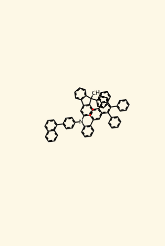 CC1(c2ccccc2)c2ccccc2-c2cc(N(c3ccc(-c4cccc5ccccc45)cc3)c3ccccc3-c3ccc4c(c3)c(-c3ccccc3)c(-c3ccccc3)c3ccccc34)ccc21